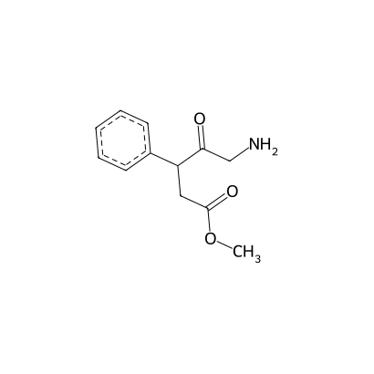 COC(=O)CC(C(=O)CN)c1ccccc1